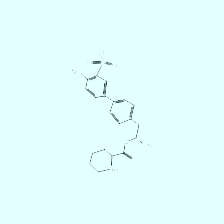 CCCS(=O)(=O)c1cc(-c2ccc(C[C@@H](C#N)NC(=O)C3CCCCN3)cc2)ccc1C#N